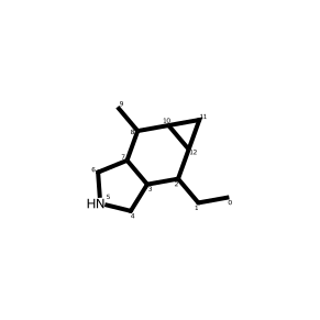 CCC1C2CNCC2C(C)C2CC21